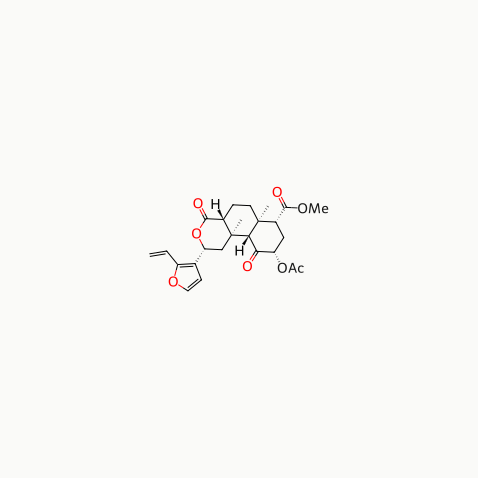 C=Cc1occc1[C@H]1C[C@]2(C)[C@H]3C(=O)[C@@H](OC(C)=O)C[C@@H](C(=O)OC)[C@]3(C)CC[C@H]2C(=O)O1